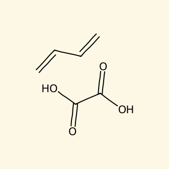 C=CC=C.O=C(O)C(=O)O